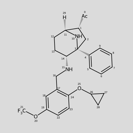 CC(=O)[C@@H]1C[C@]2(c3ccccc3)N[C@H]1CC[C@H]2NCc1cc(OC(F)(F)F)ccc1OC1CC1